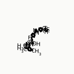 Cc1ccc(C(C)C)c(N2C(=O)CS/C2=N\C(O)OCC(F)c2ccc(-c3ncn(-c4ccc(OC(F)(F)C(F)(F)F)cc4)n3)cc2)c1